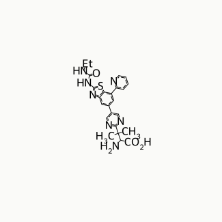 CCNC(=O)Nc1nc2cc(-c3cnc(C(C)(C)C(N)C(=O)O)nc3)cc(-c3ccccn3)c2s1